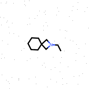 CCN1CC2(CCCCC2)C1